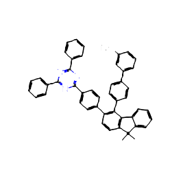 CC1(C)c2ccccc2-c2c1ccc(-c1ccc(-c3nc(-c4ccccc4)nc(-c4ccccc4)n3)cc1)c2-c1ccc(-c2cccc(C#N)c2)cc1